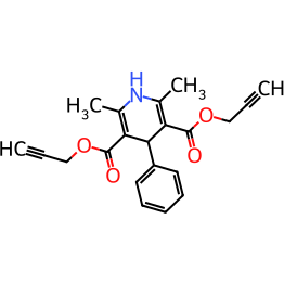 C#CCOC(=O)C1=C(C)NC(C)=C(C(=O)OCC#C)C1c1ccccc1